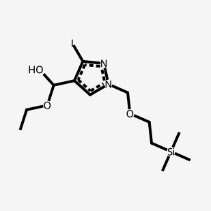 CCOC(O)c1cn(COCC[Si](C)(C)C)nc1I